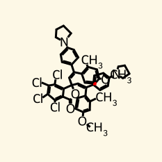 COc1ccc(/C(=C\C2(/C=C(/c3ccc(N4CCCC4)cc3)c3ccc(OC)cc3C)OC(=O)c3c(Cl)c(Cl)c(Cl)c(Cl)c32)c2ccc(N3CCCC3)cc2)c(C)c1